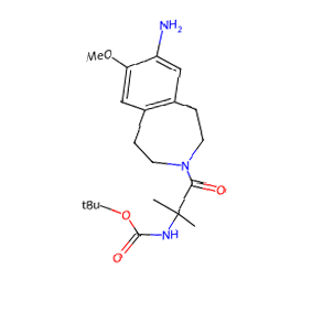 COc1cc2c(cc1N)CCN(C(=O)C(C)(C)NC(=O)OC(C)(C)C)CC2